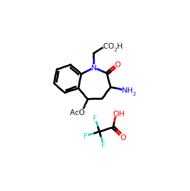 CC(=O)OC1CC(N)C(=O)N(CC(=O)O)c2ccccc21.O=C(O)C(F)(F)F